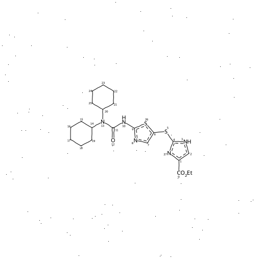 CCOC(=O)c1c[nH]c(Sc2cnc(NC(=O)N(C3CCCCC3)C3CCCCC3)s2)n1